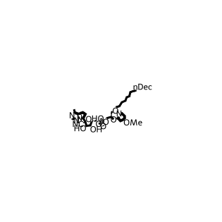 CCCCCCCCCCCCCCCCCCOC[C@H](COP(=O)(O)OC[C@H]1O[C@@](C#N)(c2ccc3c(C)ncnn23)[C@H](O)[C@@H]1O)Oc1cc(OC)ccn1